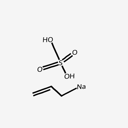 C=C[CH2][Na].O=S(=O)(O)O